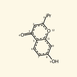 CC(C)c1cc(=O)c2ccc(O)cc2o1